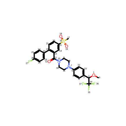 COC(c1ccc(N2CCN(C(=O)c3cc(S(C)(=O)=O)ccc3-c3ccc(F)cc3)CC2)cc1)C(F)(F)F